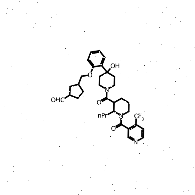 CCCC1C(C(=O)N2CCC(O)(c3ccccc3OCC3CCC(C=O)C3)CC2)CCCN1C(=O)c1cnccc1C(F)(F)F